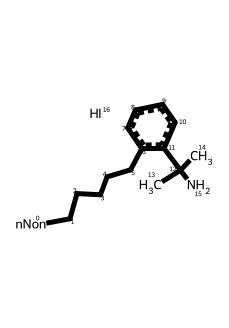 CCCCCCCCCCCCCCc1ccccc1C(C)(C)N.I